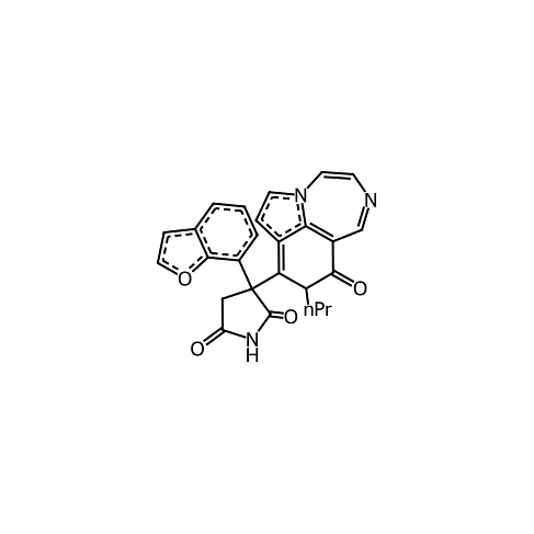 CCCC1C(=O)C2=c3c(ccn3C=CN=C2)=C1C1(c2cccc3ccoc23)CC(=O)NC1=O